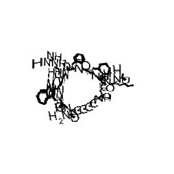 CCCC[C@H](NC(C)=O)C(=O)N[C@H]1CCC(=O)NCCCC[C@@H](C(N)=O)NC(=O)[C@H](Cc2c[nH]c3ccccc23)NC(=O)[C@H](CCCNC(=N)N)NC(=O)[C@@H](Cc2ccccc2)NC(=O)[C@H](CC2CCCCC2)NC1=O